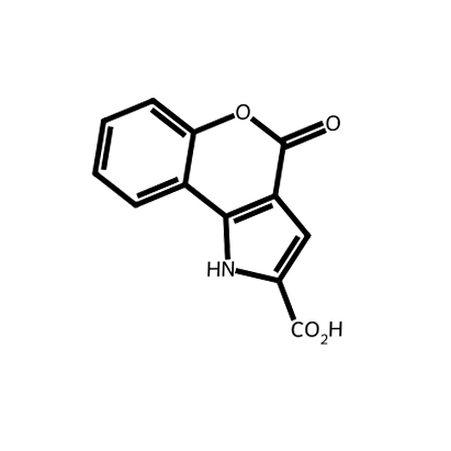 O=C(O)c1cc2c(=O)oc3ccccc3c2[nH]1